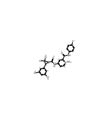 O=C(Nc1ccc(F)cc1)c1cc(NC(=O)C2C(c3cc(Cl)cc(Cl)c3)C2(Cl)Cl)cc[n+]1[O-]